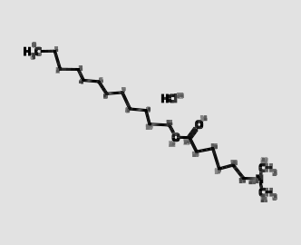 CCCCCCCCCCCCOC(=O)CCCCCN(C)C.Cl